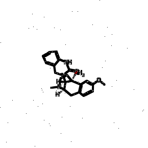 COc1ccc2c(c1)[C@]1(N)CCN(C)[C@H](C2)[C@@H]1N1Cc2ccccc2NC1=O